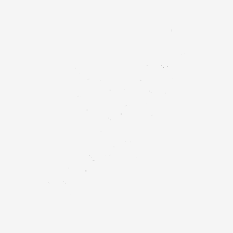 CC(C)(C)OC(=O)N1CCN(c2c(F)cc3c(=O)c(C(=O)NCCN4CCCC4)cn4c3c2Oc2cc(Cl)ccc2-4)CC1